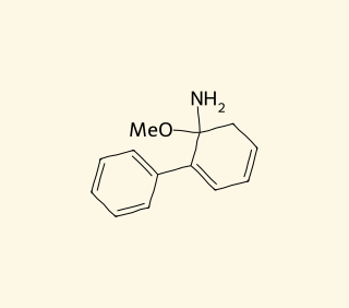 COC1(N)CC=CC=C1c1ccccc1